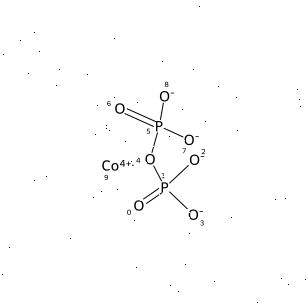 O=P([O-])([O-])OP(=O)([O-])[O-].[Co+4]